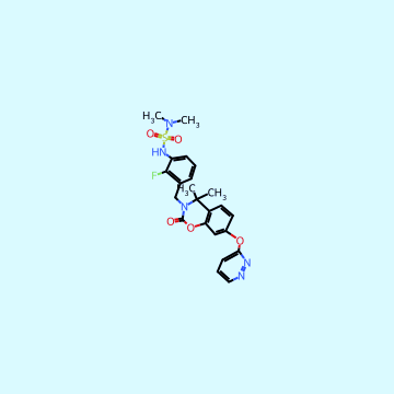 CN(C)S(=O)(=O)Nc1cccc(CN2C(=O)Oc3cc(Oc4cccnn4)ccc3C2(C)C)c1F